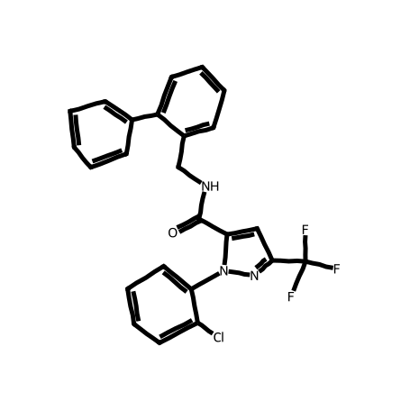 O=C(NCc1ccccc1-c1ccccc1)c1cc(C(F)(F)F)nn1-c1ccccc1Cl